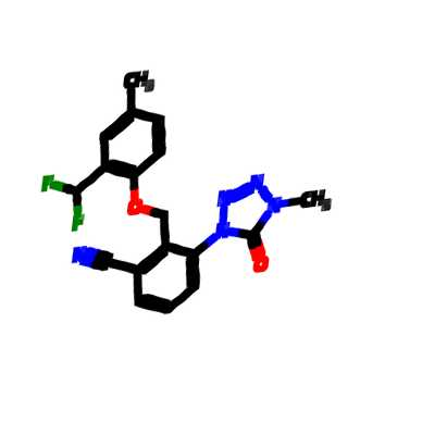 Cc1ccc(OCc2c(C#N)cccc2-n2nnn(C)c2=O)c(C(F)F)c1